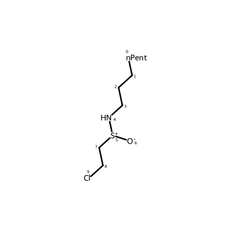 CCCCCCCCN[S+]([O-])CCCl